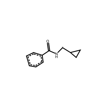 O=C(N[C]C1CC1)c1ccccc1